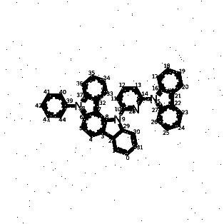 C1=CC2c3ccc4c(c3N(c3cccc(-n5c6ccccc6c6ccccc65)n3)C2C=C1)c1ccccc1n4-c1ccccc1